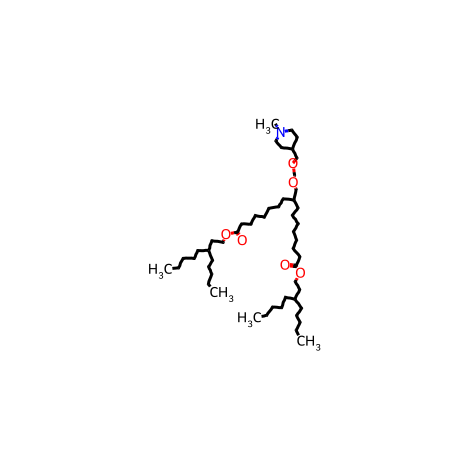 CCCCCC(CCCCC)CCOC(=O)CCCCCCCC(CCCCCCCC(=O)OCCC(CCCCC)CCCCC)COCOCC1CCN(C)CC1